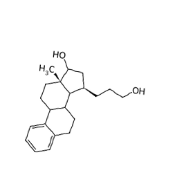 C[C@]12CCC3c4ccccc4CCC3C1[C@H](CCCO)CC2O